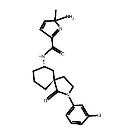 CC1(N)C=CC(C(=O)N[C@H]2CCC[C@]3(CCN(c4cccc(Cl)c4)C3=O)C2)=N1